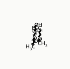 CCCCCOC(C)=O.CCCCOCCOCCO